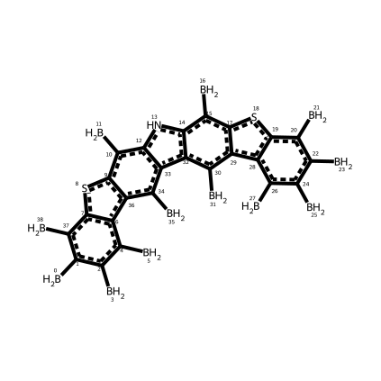 Bc1c(B)c(B)c2c(sc3c(B)c4[nH]c5c(B)c6sc7c(B)c(B)c(B)c(B)c7c6c(B)c5c4c(B)c32)c1B